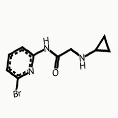 O=C(CNC1CC1)Nc1cccc(Br)n1